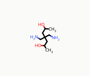 CC(O)CC(CN)(CN)CC(C)O